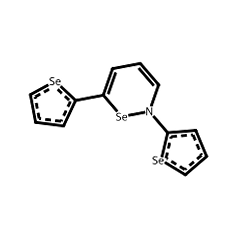 C1=CN(c2ccc[se]2)[Se]C(c2ccc[se]2)=C1